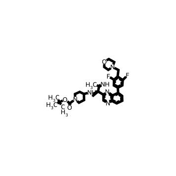 CC(=N)/C(=C\NC1CCN(C(=O)OC(C)(C)C)CC1)c1cnc2cccc(-c3cc(F)c(CN4CCOCC4)c(F)c3)c2n1